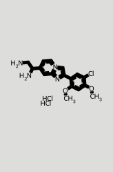 COc1cc(OC)c(-c2cn3ccc(C(N)CN)cc3n2)cc1Cl.Cl.Cl